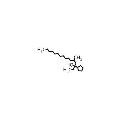 CCCCCCCCCCCC(C)CC(O)(CC)C1CCCC1